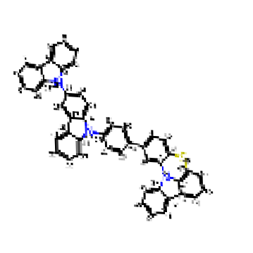 c1ccc2c(c1)c1ccccc1n2-c1ccc2c(c1)c1ccccc1n2-c1ccc(-c2ccc3c(c2)-n2c4ccccc4c4cccc(c42)S3)cc1